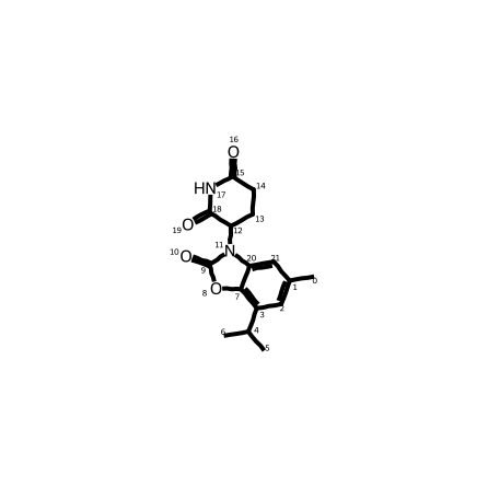 Cc1cc(C(C)C)c2oc(=O)n(C3CCC(=O)NC3=O)c2c1